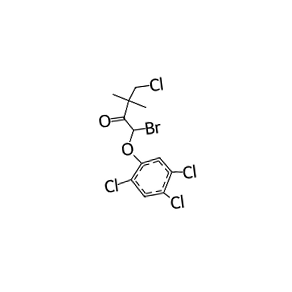 CC(C)(CCl)C(=O)C(Br)Oc1cc(Cl)c(Cl)cc1Cl